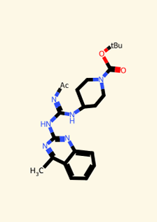 CC(=O)N=C(Nc1nc(C)c2ccccc2n1)NC1CCN(C(=O)OC(C)(C)C)CC1